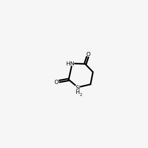 O=C1CC[SiH2]C(=O)N1